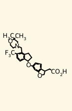 CC1(C)CN(Cc2c(C(F)(F)F)ccc3c2CC[C@H]3Oc2ccc3c(c2)OCC3CC(=O)O)CCO1